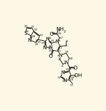 CCc1c(N2CCN(C(=O)c3ncnc(C)c3O)CC2)c(=O)n2nc(-c3cnc4sccc4c3)nc2n1CC(N)=O